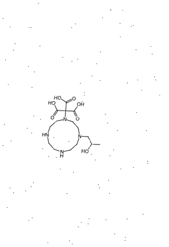 CC(O)CN1CCNCCNCCN(C(C(=O)O)(C(=O)O)C(=O)O)CC1